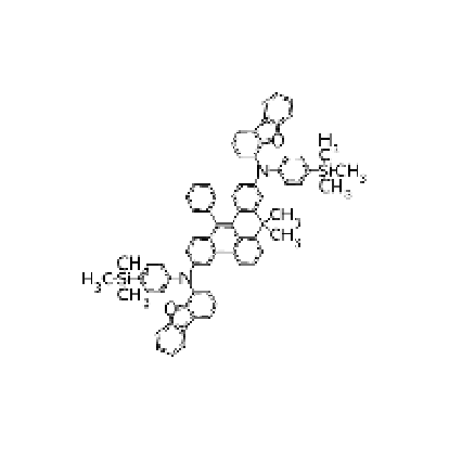 CC1(C)c2cc(N(c3ccc([Si](C)(C)C)cc3)c3cccc4c3oc3ccccc34)ccc2-c2c(-c3ccccc3)c3ccc(N(c4ccc([Si](C)(C)C)cc4)c4cccc5c4oc4ccccc45)cc3c3cccc1c23